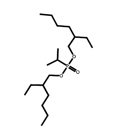 CCCCC(CC)COP(=O)(OCC(CC)CCCC)C(C)C